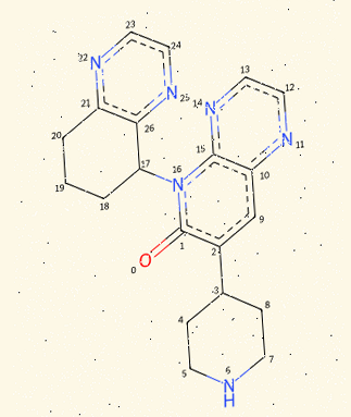 O=c1c(C2CCNCC2)cc2nccnc2n1C1CCCc2nccnc21